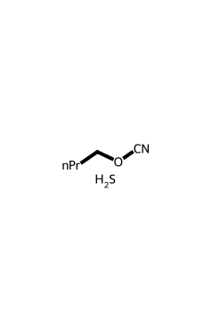 CCCCOC#N.S